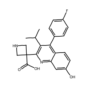 CC(C)c1c(C2(C(=O)O)CNC2)nc2cc(O)ccc2c1-c1ccc(F)cc1